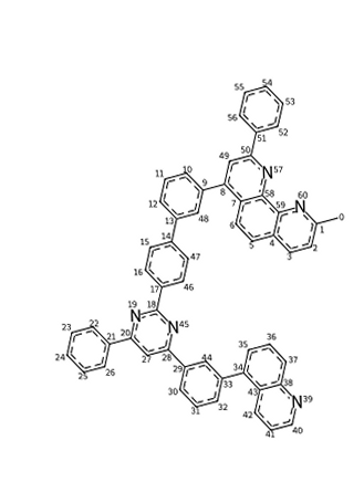 Cc1ccc2ccc3c(-c4cccc(-c5ccc(-c6nc(-c7ccccc7)cc(-c7cccc(-c8cccc9ncccc89)c7)n6)cc5)c4)cc(-c4ccccc4)nc3c2n1